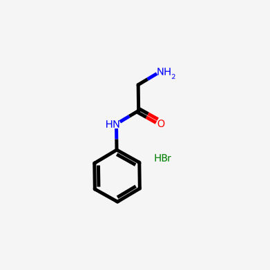 Br.NCC(=O)Nc1ccccc1